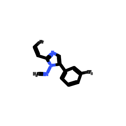 C=Nn1c(-c2cccc(C(F)(F)F)c2)cnc1/C=C\C(C)C